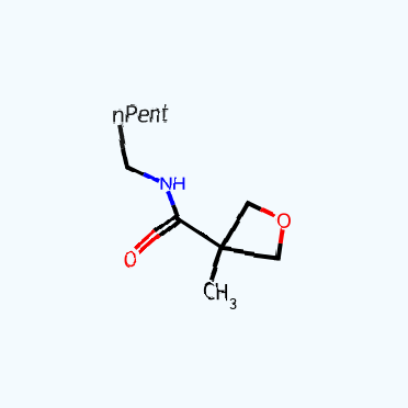 CCCCCCNC(=O)C1(C)COC1